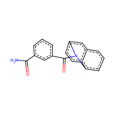 NC(=O)c1cccc(C(=O)N2c3ccc4c2cccc4c3)c1